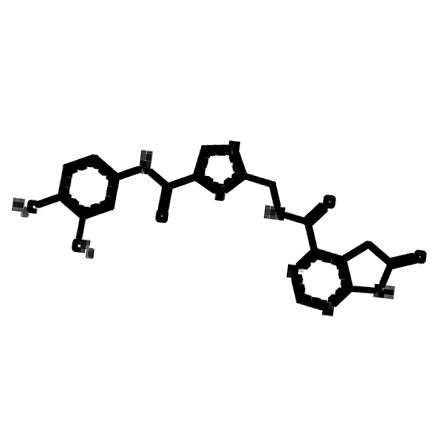 Cc1ccc(NC(=O)c2cnc(CNC(=O)c3ncnc4c3CC(=O)N4)s2)cc1C(F)(F)F